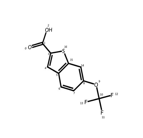 O=C(O)c1cc2ccc(OC(F)(F)F)cc2s1